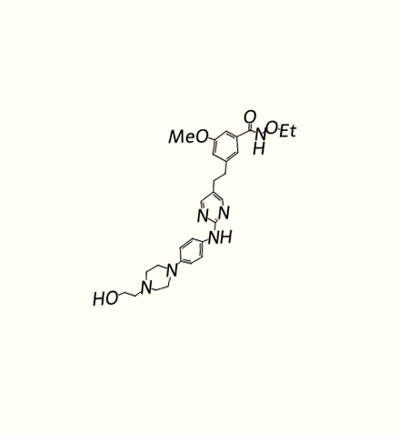 CCONC(=O)c1cc(CCc2cnc(Nc3ccc(N4CCN(CCO)CC4)cc3)nc2)cc(OC)c1